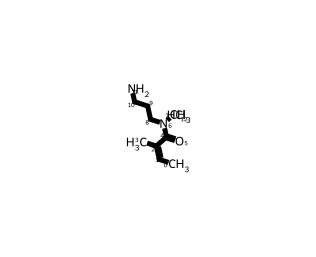 CC=C(C)C(=O)N(C)CCCN.Cl